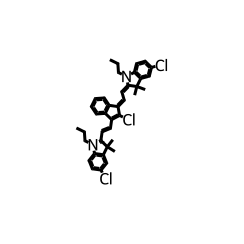 CCCN1/C(=C/C=C2C(Cl)=C(/C=C/C3=[N+](CCC)c4ccc(Cl)cc4C3(C)C)c3ccccc3/2)C(C)(C)c2cc(Cl)ccc21